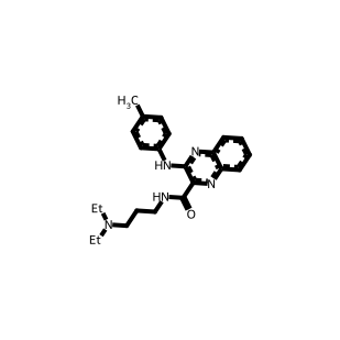 CCN(CC)CCCNC(=O)c1nc2ccccc2nc1Nc1ccc(C)cc1